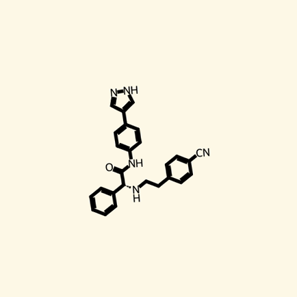 N#Cc1ccc(CCN[C@@H](C(=O)Nc2ccc(-c3cn[nH]c3)cc2)c2ccccc2)cc1